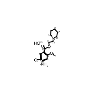 COc1cc(N)c(Cl)cc1C(=O)OCCN1CCCCC1.Cl